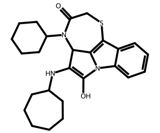 O=C1CSc2c3n(c4ccccc24)C(O)=C(NC2CCCCCC2)C3N1C1CCCCC1